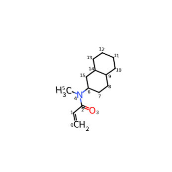 C=CC(=O)N(C)C1CCC2CCCCC2C1